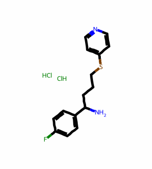 Cl.Cl.NC(CCCSc1ccncc1)c1ccc(F)cc1